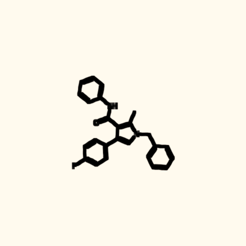 Cc1c(C(=O)Nc2ccccc2)c(-c2ccc(F)cc2)cn1Cc1ccccc1